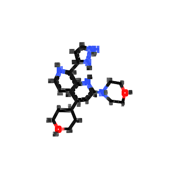 C1=C(c2cc(N3CCOCC3)nc3c(-c4cc[nH]n4)nccc23)CCOC1